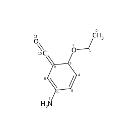 CCOC1C=CC(N)=CC1=C=O